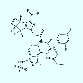 CSc1cnc([C@H](Cc2cc(F)cc(F)c2)NC(=O)Cn2nc(C(F)F)c3c2C(F)(F)[C@@H]2C=C[C@H]32)c(-c2cccc3c(NS(C)(=O)=O)nn(C)c23)n1